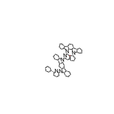 c1ccc(-c2cccc(-n3c4ccccc4c4cc5c(cc43)c3ccccc3n5-c3cccc(-n4c5ccccc5c5ccc6c7ccccc7n(-c7ccccc7)c6c54)n3)n2)cc1